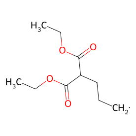 [CH2]CCC(C(=O)OCC)C(=O)OCC